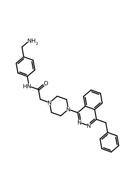 NCc1ccc(NC(=O)CN2CCN(c3nnc(Cc4ccccc4)c4ccccc34)CC2)cc1